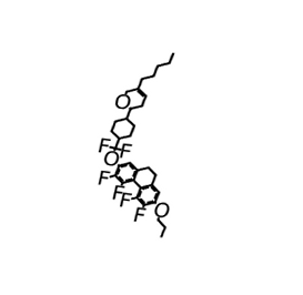 CCCCCC1=CCC(C2CCC(C(F)(F)Oc3cc4c(c(F)c3F)-c3c(cc(OCCC)c(F)c3F)CC4)CC2)OC1